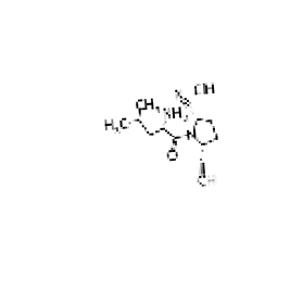 C#C[C@H]1CC[C@@H](C#N)N1C(=O)[C@@H](N)CC(C)C.Cl